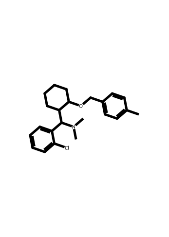 Cc1ccc(COC2CCCCC2C(c2ccccc2Cl)N(C)C)cc1